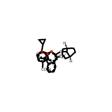 O=C(O)c1cccc2nc(S[C@@H]3[C@@H]4CC[C@H]3C[C@@H](OCc3c(-c5ccccc5OC(F)(F)F)noc3C3CC3)C4)cnc12